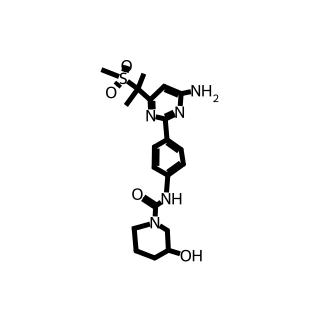 CC(C)(c1cc(N)nc(-c2ccc(NC(=O)N3CCCC(O)C3)cc2)n1)S(C)(=O)=O